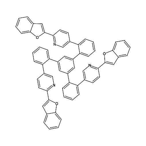 c1ccc(-c2cc(-c3ccccc3-c3ccc(-c4cc5ccccc5o4)nc3)cc(-c3ccccc3-c3ccc(-c4cc5ccccc5o4)nc3)c2)c(-c2ccc(-c3cc4ccccc4o3)nc2)c1